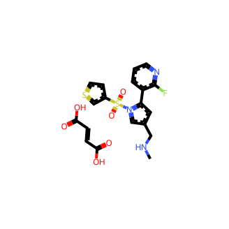 CNCc1cc(-c2cccnc2F)n(S(=O)(=O)c2ccsc2)c1.O=C(O)/C=C/C(=O)O